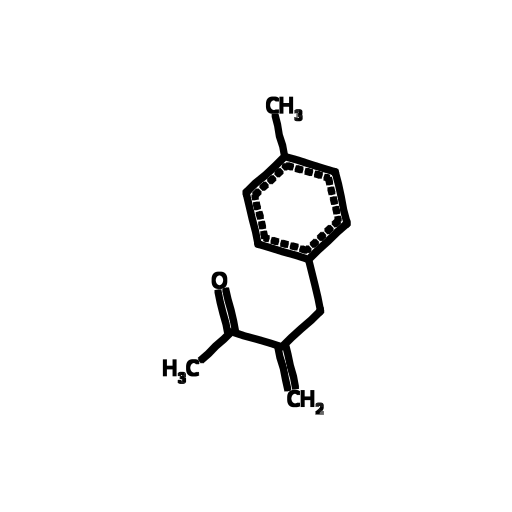 C=C(Cc1ccc(C)cc1)C(C)=O